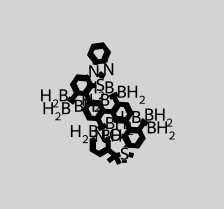 BC(B)(B)c1ccc(-c2c(C(B)(B)B)ccc3c2Oc2ncccc2C(C)(C)S3(C)C)cc1-c1cc(-c2c(C(B)(B)B)ccc3c2sc2nc4ccccc4n23)ccc1C(B)(B)B